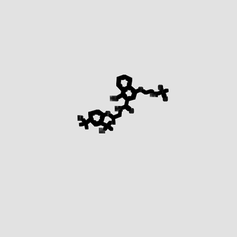 CCC(C)(C)c1ccc(OC(C)CNC(=O)c2cc(OCCNS(C)(=O)=O)c3ccccc3c2O)c(C(C)(C)CC)c1